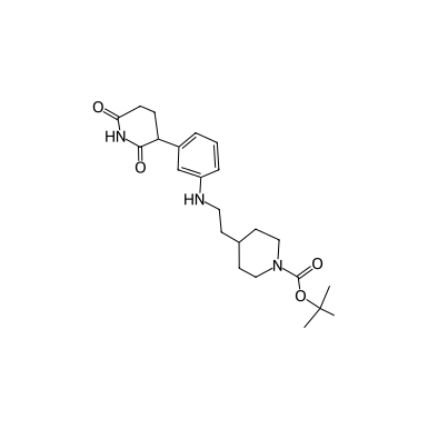 CC(C)(C)OC(=O)N1CCC(CCNc2cccc(C3CCC(=O)NC3=O)c2)CC1